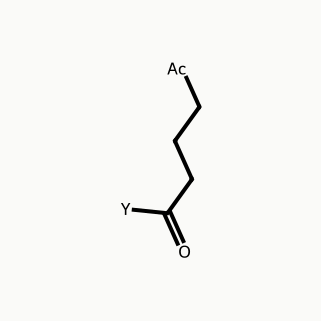 CC(=O)CCC[C](=O)[Y]